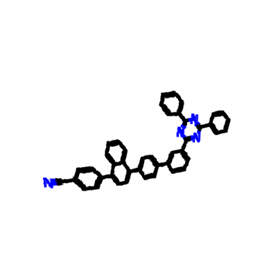 N#Cc1ccc(-c2ccc(-c3ccc(-c4cccc(-c5nc(-c6ccccc6)nc(-c6ccccc6)n5)c4)cc3)c3ccccc23)cc1